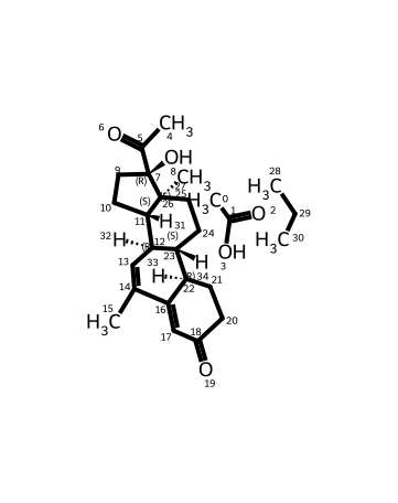 CC(=O)O.CC(=O)[C@@]1(O)CC[C@H]2[C@@H]3C=C(C)C4=CC(=O)CC[C@@H]4[C@H]3CC[C@@]21C.CCC